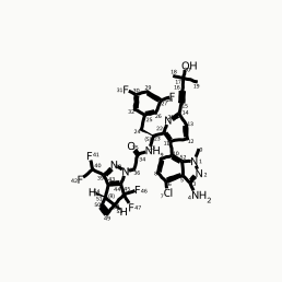 Cn1nc(N)c2c(Cl)ccc(-c3ccc(C#CC(C)(C)O)nc3[C@H](Cc3cc(F)cc(F)c3)NC(=O)Cn3nc(C(F)F)c4c3C(F)(F)[C@@H]3C#C[C@H]43)c21